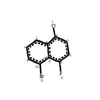 Fc1ccc(Cl)c2cccc(Br)c12